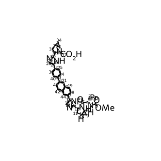 COC(=O)N[C@H](C(=O)N1[C@@H]2C[C@@H]2C[C@H]1c1ncc(-c2ccc3cc(-c4ccc(-c5cnc(C6CC7CC7N6C(=O)O)[nH]5)cc4)ccc3c2)[nH]1)C(C)C